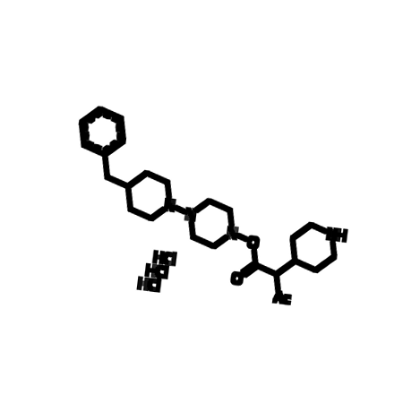 CC(=O)C(C(=O)ON1CCN(N2CCC(Cc3ccccc3)CC2)CC1)C1CCNCC1.Cl.Cl.Cl